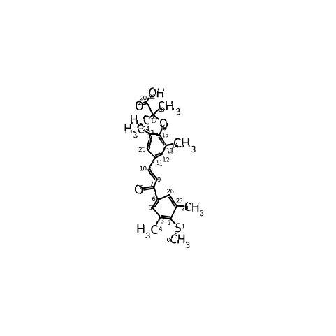 CSc1c(C)cc(C(=O)C=Cc2cc(C)c(OC(C)(C)C(=O)O)c(C)c2)cc1C